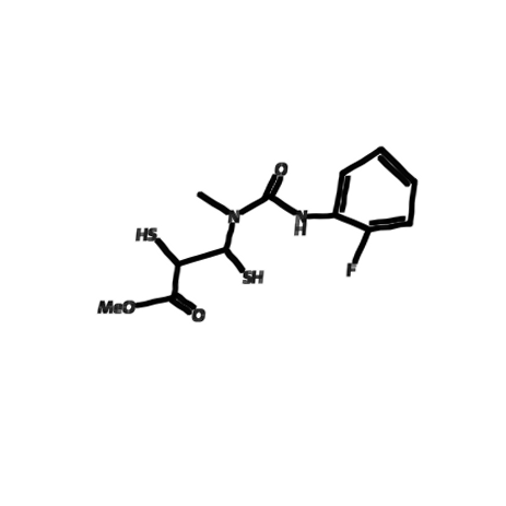 COC(=O)C(S)C(S)N(C)C(=O)Nc1ccccc1F